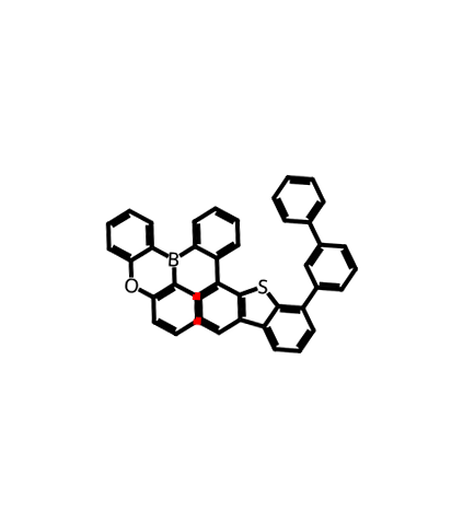 C1=C=C(c2ccccc2B2C3=C(C=CCC3)Oc3ccccc32)c2sc3c(-c4cccc(-c5ccccc5)c4)cccc3c2C=1